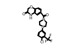 O=C1COc2ccc(C(=O)N3CCN(c4ccc(Cl)c(C(F)(F)F)c4)CC3)cc2N1